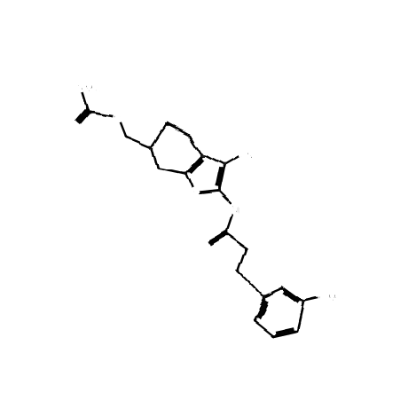 CNC(=O)OCC1CCc2c(sc(NC(=O)CCc3cccc(OC)c3)c2C#N)C1